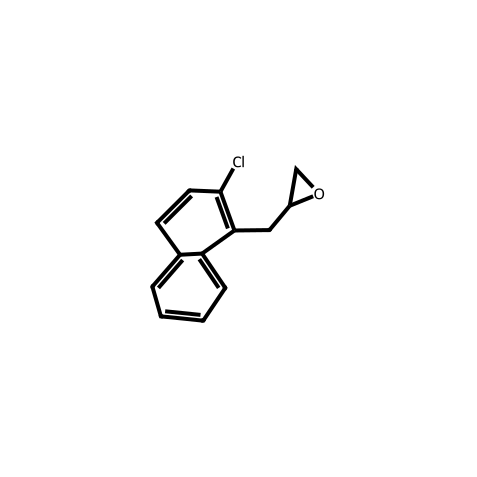 Clc1ccc2ccccc2c1CC1CO1